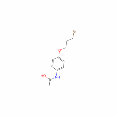 CB(O)Nc1ccc(OCCCBr)cc1